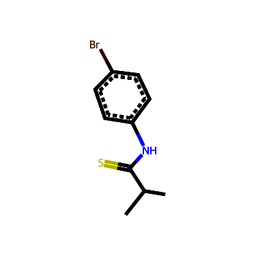 CC(C)C(=S)Nc1ccc(Br)cc1